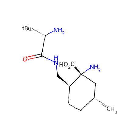 C[C@@H]1CC[C@@H](CNC(=O)[C@@H](N)C(C)(C)C)[C@@](N)(C(=O)O)C1